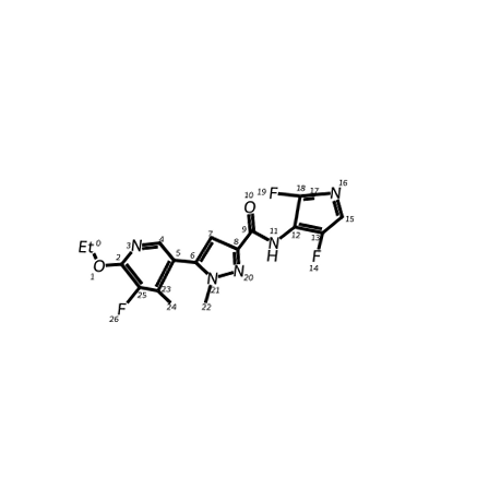 CCOc1ncc(-c2cc(C(=O)Nc3c(F)cncc3F)nn2C)c(C)c1F